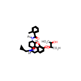 CC(=O)N(C(=O)c1ccccc1C)[C@H]1CC[C@@]2(O)[C@H]3Cc4ccc(O)c5c4[C@@]2(CCN3CC2CC2)[C@H]1O5.O=C(O)C(O)C(O)C(=O)O